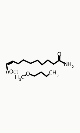 CCCCCCCC/C=C\CCCCCCCC(N)=O.CCCCOC